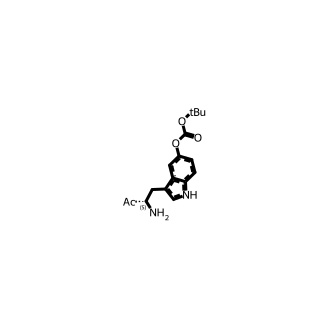 CC(=O)[C@@H](N)Cc1c[nH]c2ccc(OC(=O)OC(C)(C)C)cc12